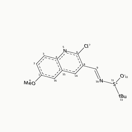 COc1ccc2nc(Cl)c(/C=N/[S+]([O-])C(C)(C)C)cc2c1